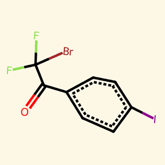 O=C(c1ccc(I)cc1)C(F)(F)Br